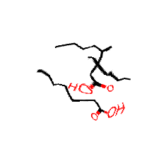 CCCCC(C)C(C)(CCC)C(=O)O.CCCCCCC(=O)O